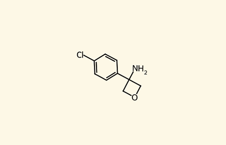 NC1(c2ccc(Cl)cc2)COC1